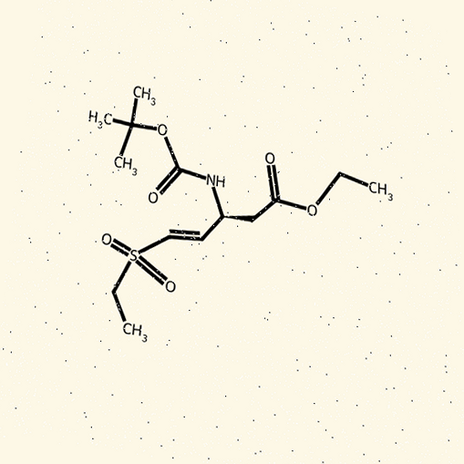 CCOC(=O)C[C@@H](/C=C/S(=O)(=O)CC)NC(=O)OC(C)(C)C